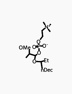 CCCCCCCCCCC(CC)OC(OP(=O)([O-])OCC[N+](C)(C)C)C(C)OC